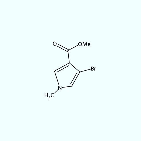 COC(=O)c1cn(C)cc1Br